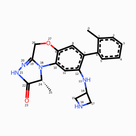 Cc1ccccc1-c1cc2c(cc1NC1CNC1)N1C(=NNC(=O)[C@H]1C)CO2